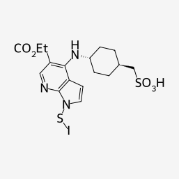 CCOC(=O)c1cnc2c(ccn2SI)c1N[C@H]1CC[C@H](CS(=O)(=O)O)CC1